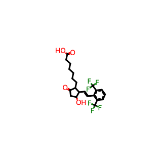 O=C(O)CCCCCCC1C(=O)CC(O)C1C=Cc1c(C(F)(F)F)cccc1C(F)(F)F